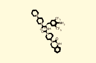 Nc1c(C(F)(F)F)cc(C[C@@H](NC(=O)N2CCC(N3CCc4ccccc4NC3=O)CC2)C(=O)N2CCC(N3CCCCC3)CC2)cc1C(F)(F)F